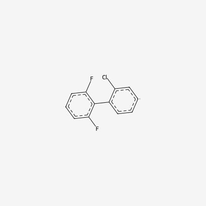 Fc1cccc(F)c1-c1cc[c]cc1Cl